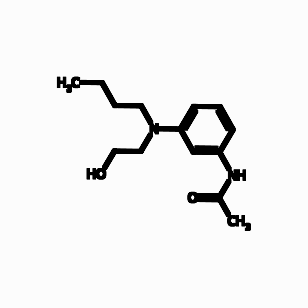 CCCCN(CCO)c1cccc(NC(C)=O)c1